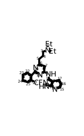 CCN(CC)CCCc1cc(Nc2n[nH]c3ncccc23)nc(-c2ccccc2C(F)(F)F)n1